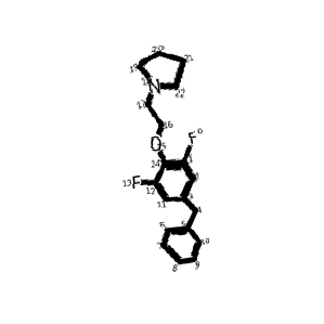 Fc1cc(Cc2ccccc2)cc(F)c1OCCN1CCCC1